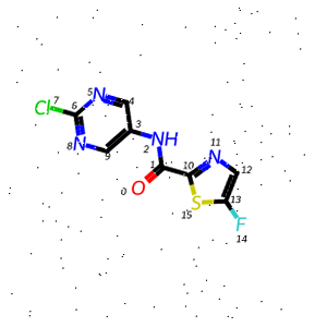 O=C(Nc1cnc(Cl)nc1)c1ncc(F)s1